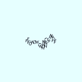 CC(c1ccnc(Nc2nc3ccc(-c4cnn(CC5CC5(F)F)c4)c(F)c3[nH]2)c1)N1CCN(C(=O)CC(F)(F)F)CC1